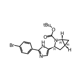 CC(C)(C)OC(=O)N1[C@@H]2C[C@@H]2C[C@H]1c1cnc(-c2ccc(Br)cc2)[nH]1